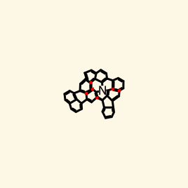 CC12c3ccccc3-c3cccc(c31)N(c1c(-c3ccccc3)ccc3ccccc13)c1ccc(-c3cccc4cccc(-c5ccccc5)c34)cc12